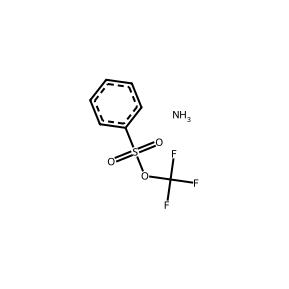 N.O=S(=O)(OC(F)(F)F)c1ccccc1